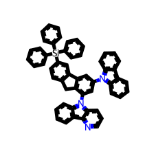 c1ccc([Si](c2ccccc2)(c2ccccc2)c2ccc3c(c2)-c2cc(-n4c5ccccc5c5ccccc54)cc(-n4c5ccccc5c5ncccc54)c2C3)cc1